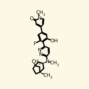 CN(c1ccc(-c2c(O)cc(-c3ccn(C)c(=O)c3)cc2F)nn1)[C@H]1C[C@]2(C)CC[C@](C)(C1)C2